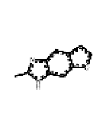 Cc1nc2cc3ccoc3cc2[nH]1